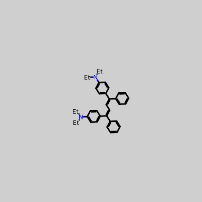 CCN(CC)c1ccc(C(=CC=C(c2ccccc2)c2ccc(N(CC)CC)cc2)c2ccccc2)cc1